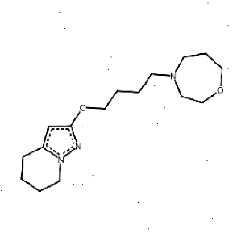 c1c(OCCCCN2CCCOCC2)nn2c1CCCC2